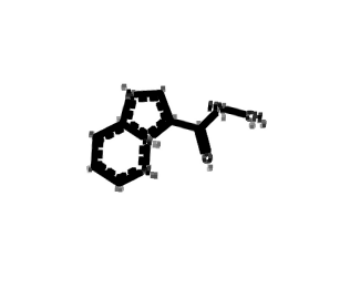 CNC(=O)c1cnc2cccnn12